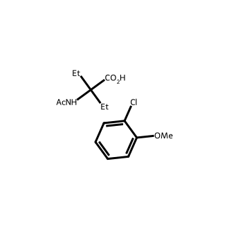 CCC(CC)(NC(C)=O)C(=O)O.COc1ccccc1Cl